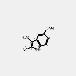 COc1ccc2[nH]c(C#N)c(N)c2c1